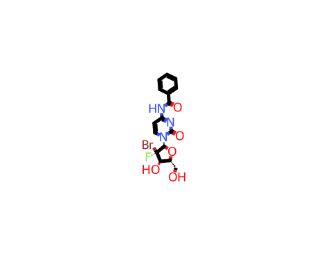 O=C(Nc1ccn([C@@H]2O[C@H](CO)[C@@H](O)[C@@]2(F)Br)c(=O)n1)c1ccccc1